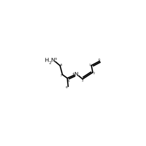 C=C/C=C\N=C(/C)CCN